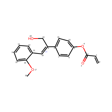 C=CC(=O)Oc1ccc(/C(=C/c2ccccc2OC)CO)cc1